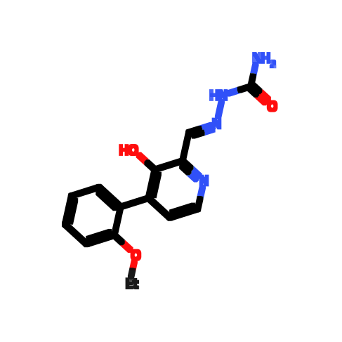 CCOc1ccccc1-c1ccnc(C=NNC(N)=O)c1O